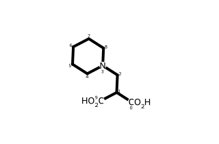 O=C(O)C(CN1CCCCC1)C(=O)O